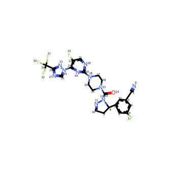 N#Cc1cc(F)cc(C2CC=NN2C(=O)N2CCN(c3ncc(F)c(-n4cnc(C(F)(F)F)n4)n3)CC2)c1